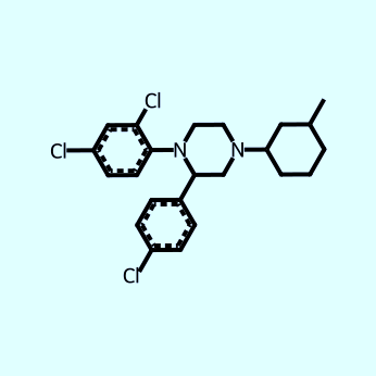 CC1CCCC(N2CCN(c3ccc(Cl)cc3Cl)C(c3ccc(Cl)cc3)C2)C1